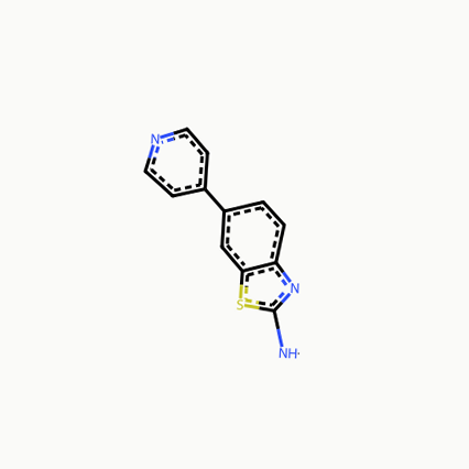 [NH]c1nc2ccc(-c3ccncc3)cc2s1